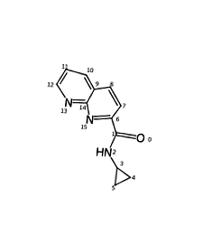 O=C(NC1CC1)c1ccc2cccnc2n1